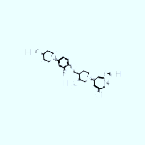 COC1=CC(N2CCC(COc3ccc(N4CCC(C)CC4)cc3F)C(C)C2)C=C(Cl)C=N1